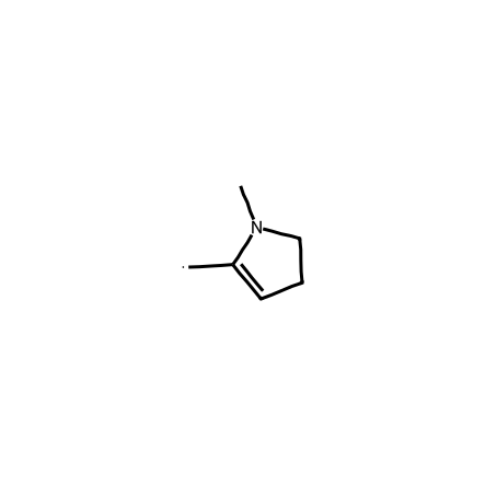 [CH2]C1=CCCN1C